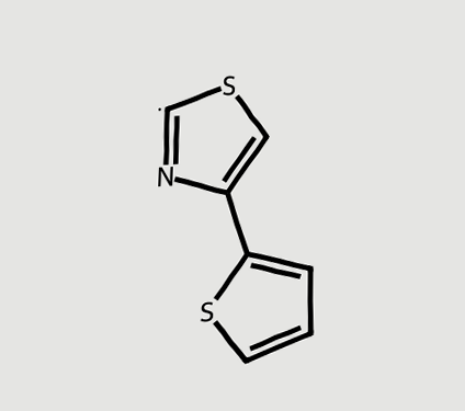 [c]1nc(-c2cccs2)cs1